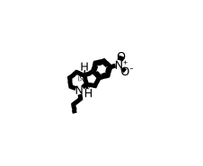 CCCN1CCC[C@H]2c3ccc([N+](=O)[O-])cc3C[C@@H]21